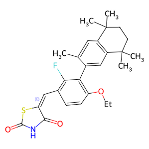 CCOc1ccc(/C=C2/SC(=O)NC2=O)c(F)c1-c1cc2c(cc1C)C(C)(C)CCC2(C)C